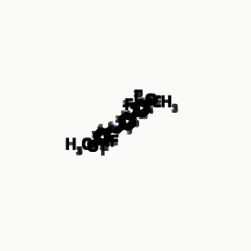 COc1ccc(/C=C/c2ccc(-c3ccc(OC)c(F)c3F)cc2)c(F)c1F